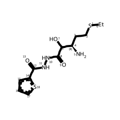 CCSCC[C@@H](N)C(O)C(=O)NNC(=O)c1cccs1